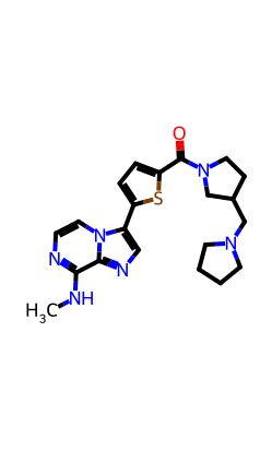 CNc1nccn2c(-c3ccc(C(=O)N4CCC(CN5CCCC5)C4)s3)cnc12